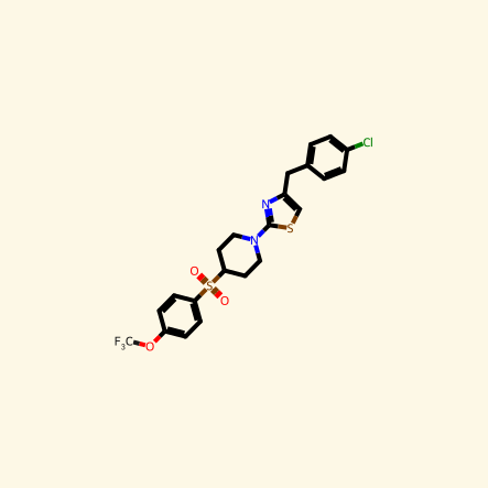 O=S(=O)(c1ccc(OC(F)(F)F)cc1)C1CCN(c2nc(Cc3ccc(Cl)cc3)cs2)CC1